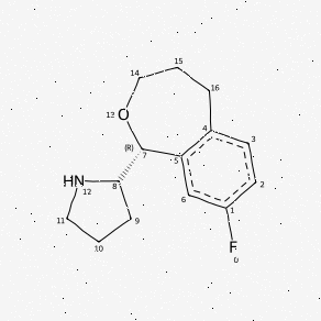 Fc1ccc2c(c1)[C@H](C1CCCN1)OCCC2